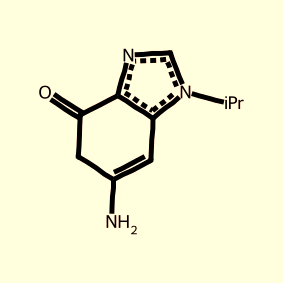 CC(C)n1cnc2c1C=C(N)CC2=O